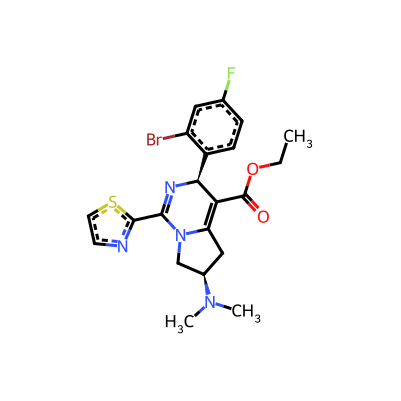 CCOC(=O)C1=C2C[C@@H](N(C)C)CN2C(c2nccs2)=N[C@H]1c1ccc(F)cc1Br